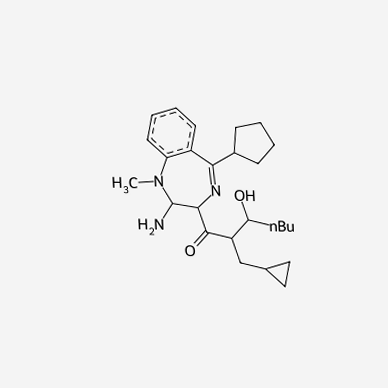 CCCCC(O)C(CC1CC1)C(=O)C1N=C(C2CCCC2)c2ccccc2N(C)C1N